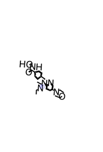 CC/N=C(\C)N(Cc1ccc(C(=O)NO)cc1)c1ccc(N2CCOCC2)cn1